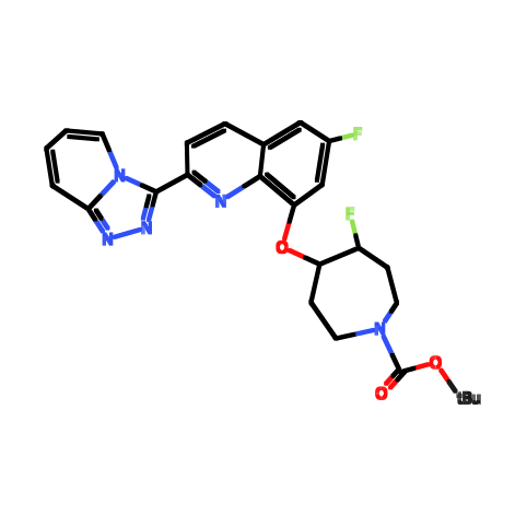 CC(C)(C)OC(=O)N1CCC(F)C(Oc2cc(F)cc3ccc(-c4nnc5ccccn45)nc23)CC1